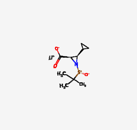 CC(C)(C)[S@@+]([O-])N1[C@H](C2CC2)[C@@H]1C(=O)[O-].[Li+]